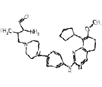 COC1=C(C2CCCC2)c2nc(Nc3ccc(N4CCN(CC(C)C(N)C=O)CC4)cc3)ncc2CC1